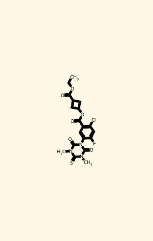 CCOC(=O)C1CC(OC(=O)c2cc(-n3c(=O)n(C)c(=S)n(C)c3=O)c(F)cc2Cl)C1